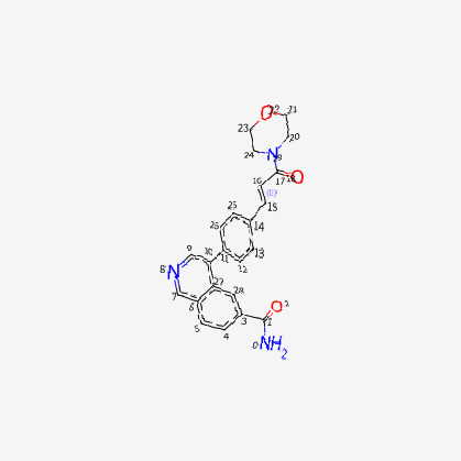 NC(=O)c1ccc2cncc(-c3ccc(/C=C/C(=O)N4CCOCC4)cc3)c2c1